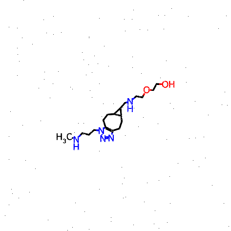 CNCCCn1nnc2c1CCC1C(CC2)C1CNCCOCCO